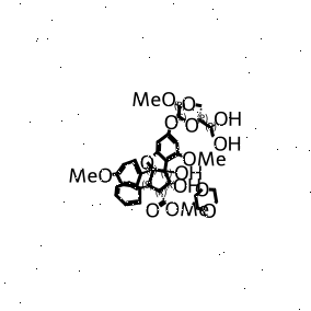 C1COCCO1.COC(=O)[C@H]1[C@@H](O)[C@@]2(O)c3c(OC)cc(O[C@@H]4O[C@@H]([C@H](O)CO)CO[C@H]4OC)cc3O[C@@]2(c2ccc(OC)cc2)[C@@H]1c1ccccc1